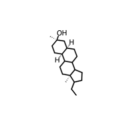 CCC1CCC2C3CC[C@@H]4C[C@](C)(O)CC[C@@H]4C3CC[C@]12C